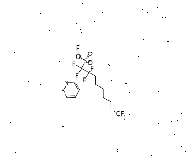 O=S(=O)(OF)C(F)(F)C(F)(F)CCCCCCC(F)(F)F.c1ccncc1